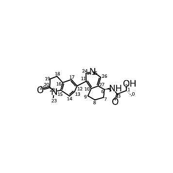 C[C@@H](O)C(=O)N[C@H]1CCCc2c(-c3ccc4c(c3)CCC(=O)N4C)cncc21